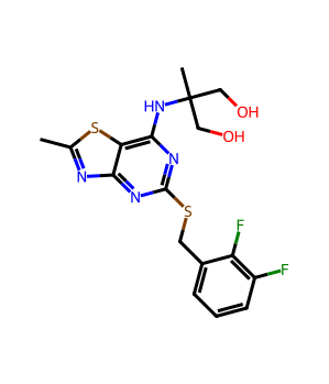 Cc1nc2nc(SCc3cccc(F)c3F)nc(NC(C)(CO)CO)c2s1